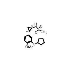 COc1ccc([C@@H]2C[C@H]2NS(C)(=O)=O)cc1OC1CCCC1